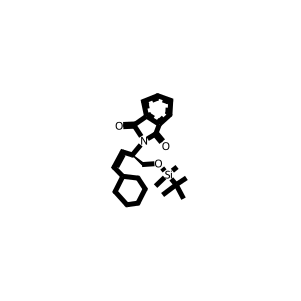 CC(C)(C)[Si](C)(C)OC[C@@H](/C=C\C1CCCCC1)N1C(=O)c2ccccc2C1=O